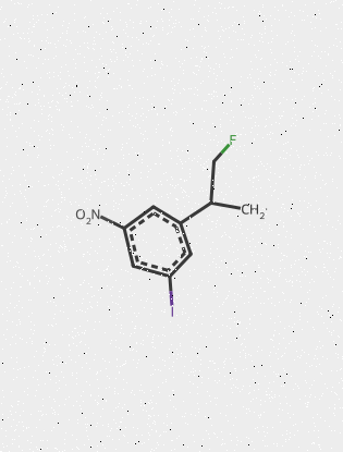 [CH2]C(CF)c1cc(I)cc([N+](=O)[O-])c1